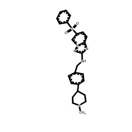 CN1CCC(c2ccc(CNc3nc4ccc(S(=O)(=O)c5ccccc5)cn4n3)cc2)CC1